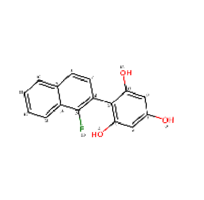 Oc1cc(O)c(-c2ccc3ccccc3c2F)c(O)c1